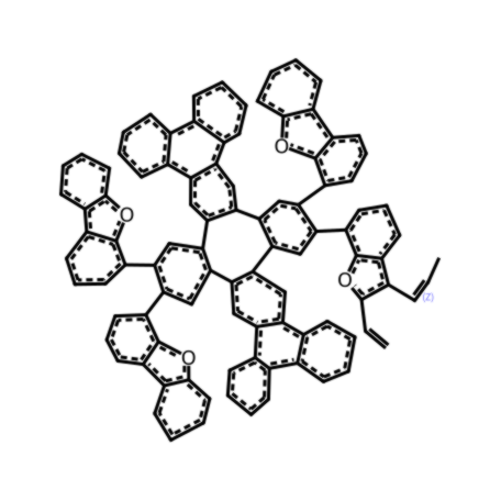 C=Cc1oc2c(-c3cc4c(cc3-c3cccc5c3oc3ccccc35)-c3cc5c6ccccc6c6ccccc6c5cc3-c3cc(-c5cccc6c5oc5ccccc56)c(-c5cccc6c5oc5ccccc56)cc3-c3cc5c6ccccc6c6ccccc6c5cc3-4)cccc2c1/C=C\C